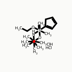 Cl.Cl.[CH2]=[Ti]([CH3])([NH]C(C)(C)C)([O]CC)([O][Si](C)(C)C)[C]1=CC=CC1